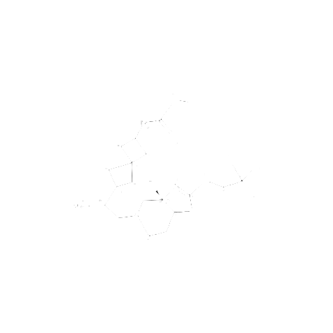 CO[C@@H](CN1CCC2SC(OCC(C)(F)F)=N[C@H]2C1)C1CC2(CC(NC(=O)OC(C)(C)C)C2)C1